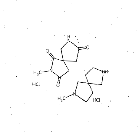 CN1C(=O)CC2(CNC(=O)C2)C1=O.CN1CCC2(CCNC2)C1.Cl.Cl